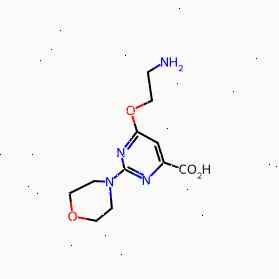 NCCOc1cc(C(=O)O)nc(N2CCOCC2)n1